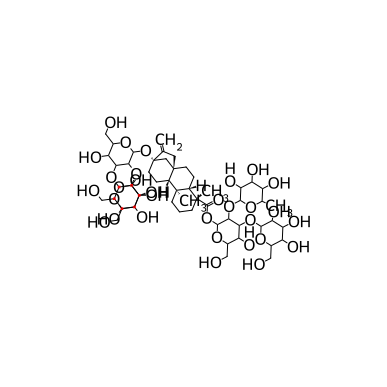 C=C1C[C@@]23CC[C@H]4[C@@](C)(CCC[C@@]4(C)C(=O)OC4OC(CO)C(O)C(OC5OC(CO)C(O)C(O)C5O)C4OC4OC(C)C(O)C(O)C4O)[C@@H]2CC[C@]1(OC1OC(CO)C(O)C(OC2OC(CO)C(O)C(O)C2O)C1OC1OC(CO)C(O)C[C@@H]1O)C3